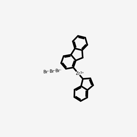 C1=C[CH]([Zr+3][c]2cccc3c2Cc2ccccc2-3)c2ccccc21.[Br-].[Br-].[Br-]